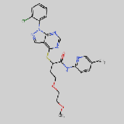 COCCOCCC(Sc1ncnc2c1cnn2-c1ccccc1Cl)C(=O)Nc1ccc(C)cn1